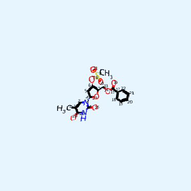 Cc1cn([C@@H]2C[C@H](OS(C)(=O)=O)[C@@H](COC(=O)c3ccccc3)O2)c(=O)[nH]c1=O